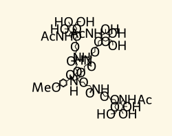 COc1ccc(C(=O)NC(COCCC(=O)NCCOCCOC2OC(CO)C(O)C(O)C2NC(C)=O)(COCCC(=O)NCCOCCOC2OC(CO)C(O)C(O)C2NC(C)=O)COCCC(=O)NCCOCCOC2OC(CO)C(O)C(O)C2NC(C)=O)cc1